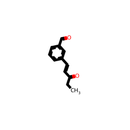 CCC(=O)C=Cc1cccc(C=O)c1